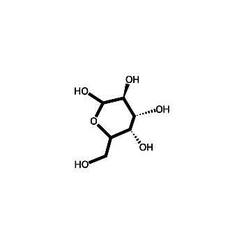 OCC1OC(O)[C@@H](O)[C@H](O)[C@@H]1O